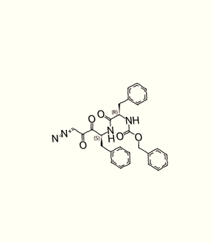 [N-]=[N+]=CC(=O)C(=O)[C@H](Cc1ccccc1)NC(=O)[C@@H](Cc1ccccc1)NC(=O)OCc1ccccc1